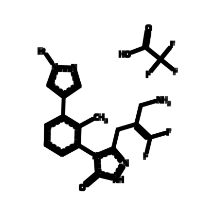 CCn1cc(-c2cccc(-n3c(CC(CN)=C(F)F)n[nH]c3=O)c2C)cn1.O=C(O)C(F)(F)F